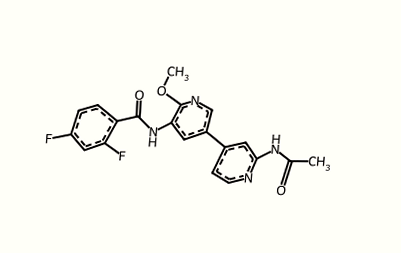 COc1ncc(-c2ccnc(NC(C)=O)c2)cc1NC(=O)c1ccc(F)cc1F